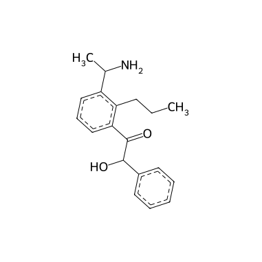 CCCc1c(C(=O)C(O)c2ccccc2)cccc1C(C)N